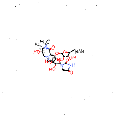 CNCC1OC(O[C@H](C2OC(n3ccc(=O)[nH]c3=O)C(O)C2O)[C@H]2C(=O)N(C)[C@H](C(C)=O)[C@@H](O)CN2C)C(O)C1O